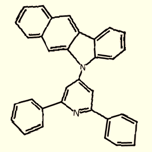 c1ccc(-c2cc(-n3c4ccccc4c4cc5ccccc5cc43)cc(-c3ccccc3)n2)cc1